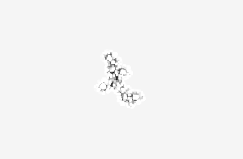 c1ccc(-c2nc(-c3ccc4c(ccc5oc6ccccc6c54)c3)nc(-n3c4ccccc4c4c5sc6ccccc6c5ccc43)n2)cc1